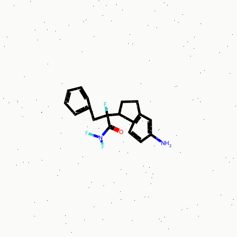 Nc1ccc2c(c1)CCC2C(F)(Cc1ccccc1)C(=O)N(F)F